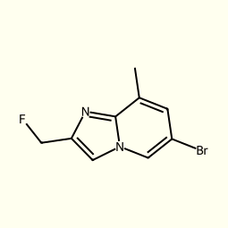 Cc1cc(Br)cn2cc(CF)nc12